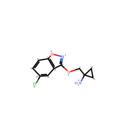 NC1(COc2noc3ccc(Cl)cc23)CC1